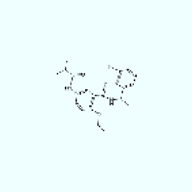 CCOc1ccc(NC(=O)C(C)C)cc1C(=O)NC(C)c1cccc(F)n1